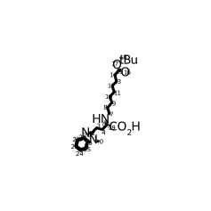 Cn1c(CC[C@H](NCCCCCCCCC(=O)OC(C)(C)C)C(=O)O)nc2ccccc21